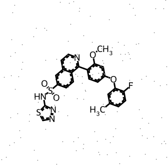 COc1cc(Oc2cc(C)ccc2F)ccc1-c1nccc2cc(S(=O)(=O)Nc3nncs3)ccc12